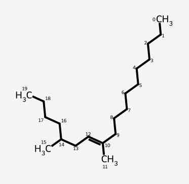 CCCCCCCCCCC(C)=CCC(C)CCCC